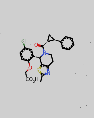 Cc1nc2c(s1)[C@@H](c1cc(Cl)ccc1OCC(=O)O)N(C(=O)[C@@H]1C[C@H]1c1ccccc1)CC2